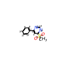 CS(=O)(=O)c1cc(-c2ccccc2)ncn1